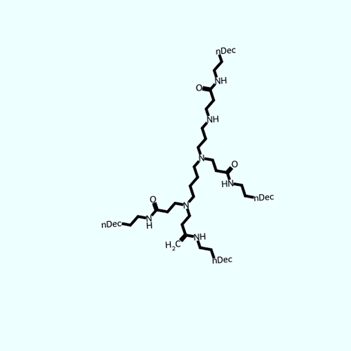 C=C(CCN(CCCCN(CCCNCCC(=O)NCCCCCCCCCCCC)CCC(=O)NCCCCCCCCCCCC)CCC(=O)NCCCCCCCCCCCC)NCCCCCCCCCCCC